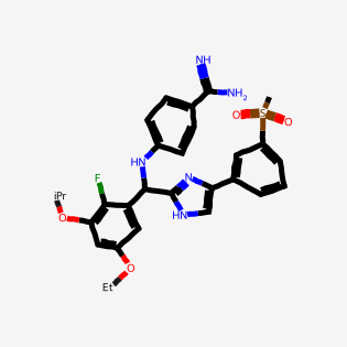 CCOc1cc(OC(C)C)c(F)c(C(Nc2ccc(C(=N)N)cc2)c2nc(-c3cccc(S(C)(=O)=O)c3)c[nH]2)c1